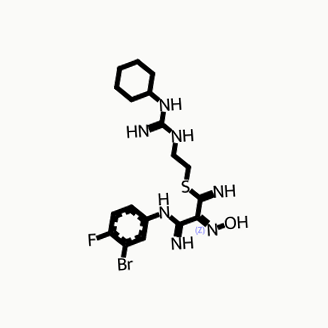 N=C(NCCSC(=N)/C(=N\O)C(=N)Nc1ccc(F)c(Br)c1)NC1CCCCC1